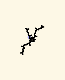 CC(C)=CCCC(C)=CCCC(C)=CCC(Br)(/C=C(\C)CCC=C(C)C)CC=C(C)CCC=C(C)CCC=C(C)C